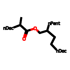 CCCCCCCCCCCCC(CCCCC)COC(=O)C(C)CCCCCCCCCC